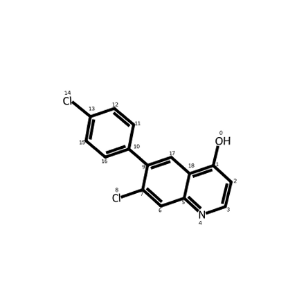 Oc1ccnc2cc(Cl)c(-c3ccc(Cl)cc3)cc12